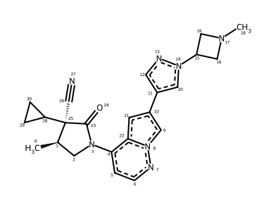 C[C@@H]1CN(c2ccnn3cc(-c4cnn(C5CN(C)C5)c4)cc23)C(=O)[C@]1(C#N)C1CC1